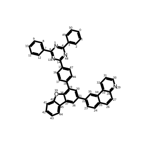 c1ccc(-c2nc(-c3ccccc3)nc(-c3ccc(-c4cc(-c5ccc6ccc7ncccc7c6c5)cc5c4oc4ccccc45)cc3)n2)cc1